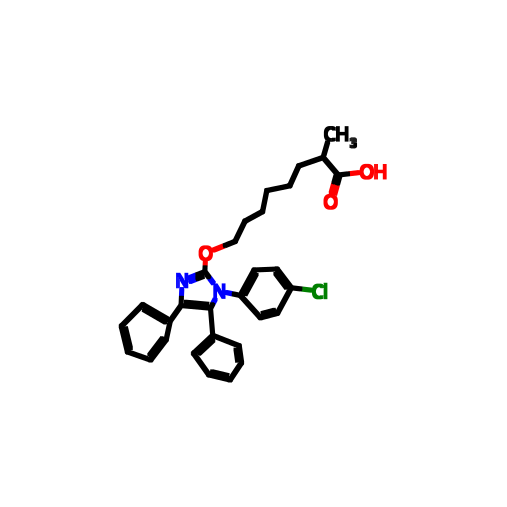 CC(CCCCCCOc1nc(-c2ccccc2)c(-c2ccccc2)n1-c1ccc(Cl)cc1)C(=O)O